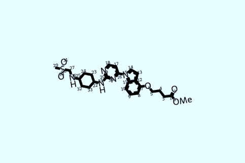 COC(=O)CCCOc1cccc2c1ccn2-c1ccnc(NC2CCC(NCS(C)(=O)=O)CC2)n1